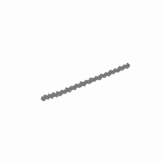 C=CCCCCCCCCCCCCCCCCCCCCCCCCCCCCCCCCCCCCC